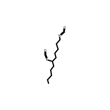 CCCCCC(CCCCCN=C=O)N=C=O